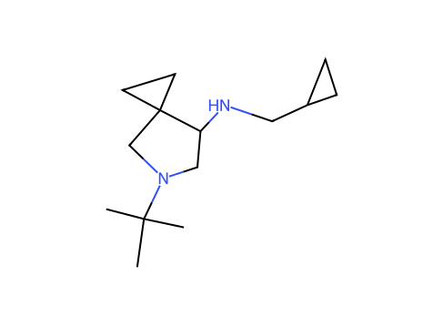 CC(C)(C)N1CC(NCC2CC2)C2(CC2)C1